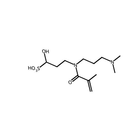 C=C(C)C(=O)N(CCCN(C)C)CCC(O)S(=O)(=O)O